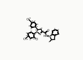 CC1Cc2ccccc2N1NC(=O)C1=NN(c2ccc(Cl)cc2Cl)C(c2ccc(Cl)cc2)C1